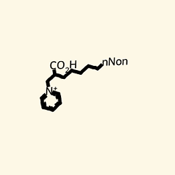 CCCCCCCCCCCCCCC(C[n+]1ccccc1)C(=O)O